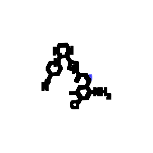 C=C(/C=C\c1cc(C)c(Cl)cc1N)N1CC(c2nccnc2N2CCC(C#N)CC2)C1